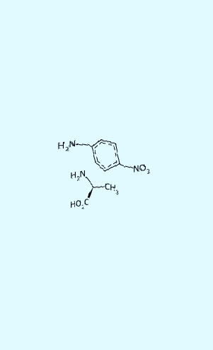 C[C@H](N)C(=O)O.Nc1ccc([N+](=O)[O-])cc1